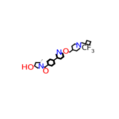 C[C@H]1C[C@@H](O)CN1C(=O)c1ccc(-c2ccc(OCC3CCN(CC4(C(F)(F)F)CCC4)CC3)nc2)cc1